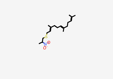 CC(C)=CCCC(C)=CCCC(C)=CCSCC(C)[N+](=O)[O-]